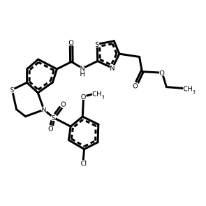 CCOC(=O)Cc1csc(NC(=O)c2ccc3c(c2)N(S(=O)(=O)c2cc(Cl)ccc2OC)CCS3)n1